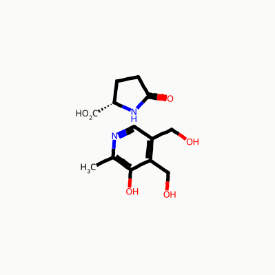 Cc1ncc(CO)c(CO)c1O.O=C1CC[C@@H](C(=O)O)N1